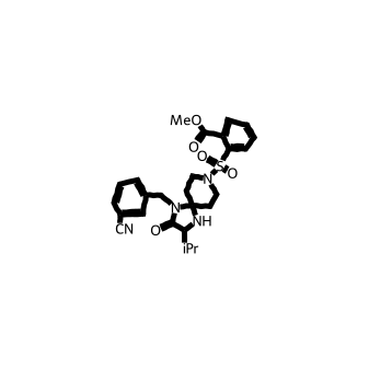 COC(=O)c1ccccc1S(=O)(=O)N1CCC2(CC1)NC(C(C)C)C(=O)N2Cc1cccc(C#N)c1